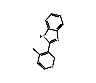 CC1=C(c2nc3ccccc3[nH]2)CSC=C1